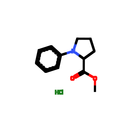 COC(=O)C1CCCN1c1ccccc1.Cl